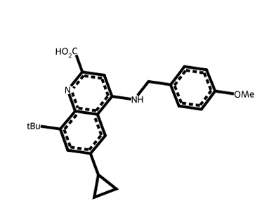 COc1ccc(CNc2cc(C(=O)O)nc3c(C(C)(C)C)cc(C4CC4)cc23)cc1